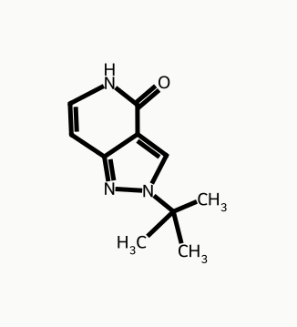 CC(C)(C)n1cc2c(=O)[nH]ccc2n1